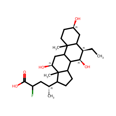 CC[C@@H]1C2C[C@H](O)CCC2(C)C2C[C@H](O)C3(C)C(CCC3[C@H](C)CC(F)C(=O)O)C2[C@@H]1O